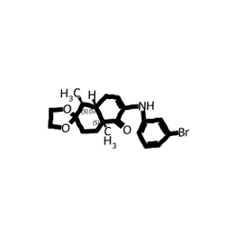 C[C@H]1[C@@H]2CC=C(Nc3cccc(Br)c3)C(=O)[C@@]2(C)CCC12OCCO2